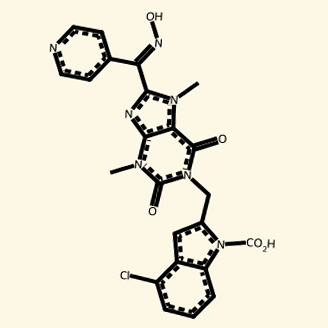 Cn1c(/C(=N/O)c2ccncc2)nc2c1c(=O)n(Cc1cc3c(Cl)cccc3n1C(=O)O)c(=O)n2C